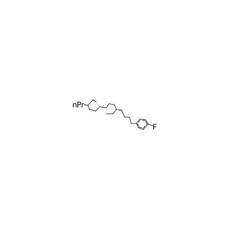 CCC[C@H]1CC[C@H]([C@H]2CC[C@H](CCCCc3ccc(F)cc3)CC2)CC1